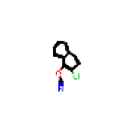 N#COc1c(Cl)ccc2ccccc12